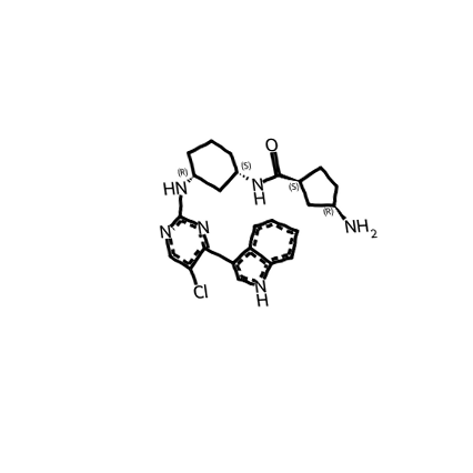 N[C@@H]1CC[C@H](C(=O)N[C@H]2CCC[C@@H](Nc3ncc(Cl)c(-c4c[nH]c5ccccc45)n3)C2)C1